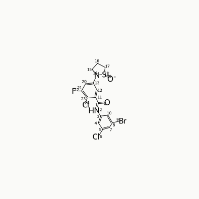 O=C(Nc1cc(Cl)cc(Br)c1)c1cc(N2CCC[S+]2[O-])cc(F)c1Cl